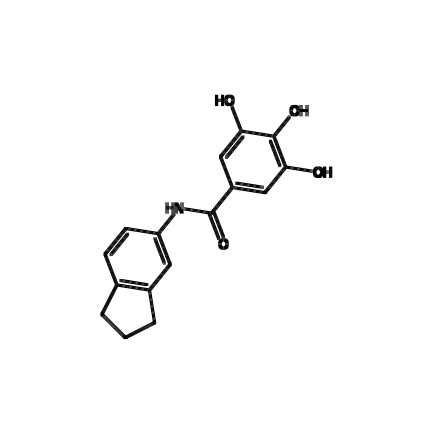 O=C(Nc1ccc2c(c1)CCC2)c1cc(O)c(O)c(O)c1